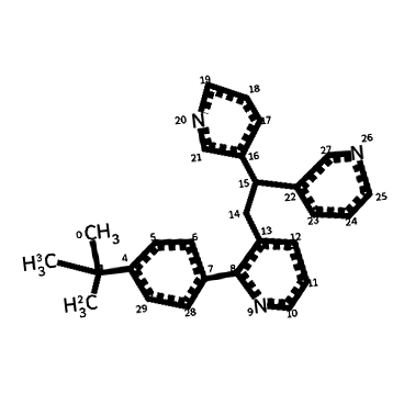 CC(C)(C)c1ccc(-c2ncccc2CC(c2cccnc2)c2cccnc2)cc1